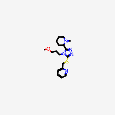 COCCCn1c(SCc2ccccn2)nnc1C1CCCCN1C